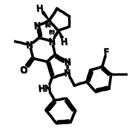 Cc1ccc(Cn2nc3c(c2Nc2ccccc2)C(=O)N(C)C2=N[C@@H]4CCC[C@@H]4N23)cc1F